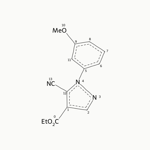 CCOC(=O)c1cnn(-c2cccc(OC)c2)c1C#N